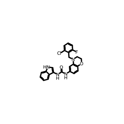 O=C(Nc1ccc2c(c1)N(Cc1c(F)cccc1Cl)CCO2)Nc1c[nH]c2ccccc12